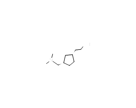 CN(C)C[C@@H]1CC[C@H](CCO)C1